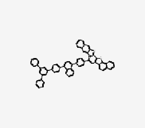 c1ccc(-c2cc(-c3ccccc3)cc(-c3ccc(-c4ccc(-c5ccc(-c6cc7c8ccc9ccccc9c8sc7c7nc8cc9ccccc9cc8n67)cc5)c5ccccc45)cc3)c2)cc1